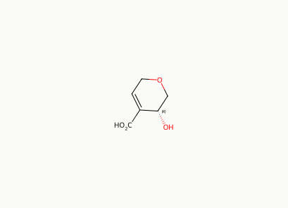 O=C(O)C1=CCOC[C@@H]1O